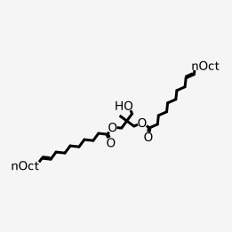 CCCCCCCCC=CCCCCCCCC(=O)OCC(C)(CO)COC(=O)CCCCCCCC=CCCCCCCCC